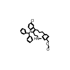 CNCCc1c(CCCc2ccc(COC=O)cc2)c2cc(Cl)ccc2n1C(c1ccccc1)c1ccccc1